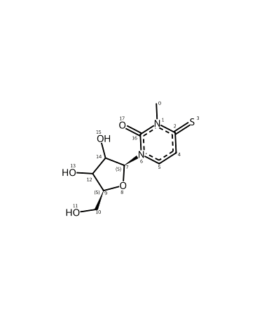 Cn1c(=S)ccn([C@H]2O[C@@H](CO)C(O)C2O)c1=O